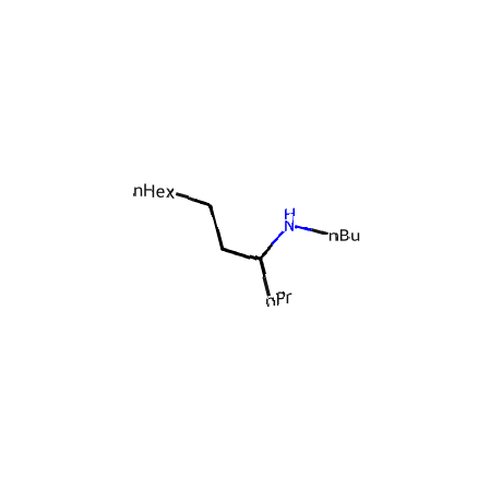 CCCCCCCCC(CCC)NCCCC